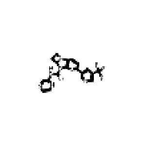 O=C(Nc1cnccn1)N1c2nc(-c3cncc(C(F)(F)F)c3)ccc2N2CCC21